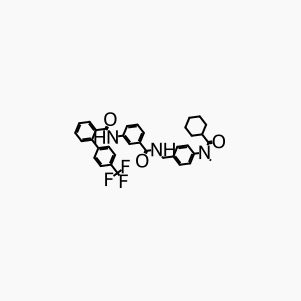 CN(C(=O)C1CCCCC1)c1ccc(CNC(=O)c2cccc(NC(=O)c3ccccc3-c3ccc(C(F)(F)F)cc3)c2)cc1